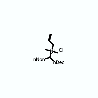 C=CC[N+](C)(C)C(CCCCCCCCC)CCCCCCCCCC.[Cl-]